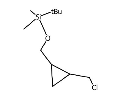 CC(C)(C)[Si](C)(C)OCC1CC1CCl